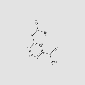 COC(=O)c1cccc(CC(Br)Br)c1